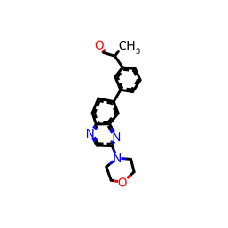 CC(C=O)c1cccc(-c2ccc3ncc(N4CCOCC4)nc3c2)c1